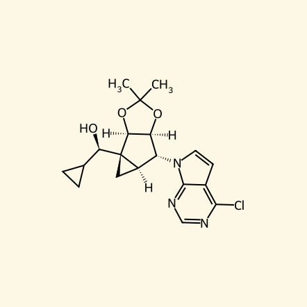 CC1(C)O[C@H]2[C@H](n3ccc4c(Cl)ncnc43)[C@H]3C[C@@]3([C@H](O)C3CC3)[C@H]2O1